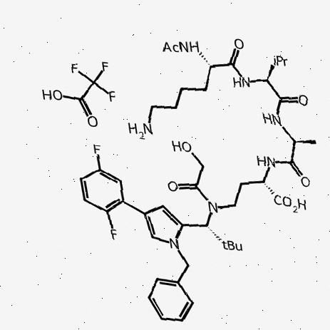 CC(=O)N[C@@H](CCCCN)C(=O)N[C@H](C(=O)N[C@@H](C)C(=O)N[C@@H](CCN(C(=O)CO)[C@@H](c1cc(-c2cc(F)ccc2F)cn1Cc1ccccc1)C(C)(C)C)C(=O)O)C(C)C.O=C(O)C(F)(F)F